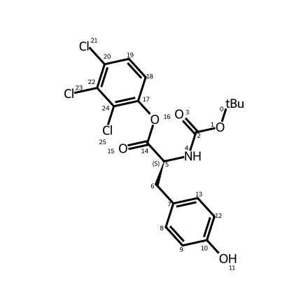 CC(C)(C)OC(=O)N[C@@H](Cc1ccc(O)cc1)C(=O)Oc1ccc(Cl)c(Cl)c1Cl